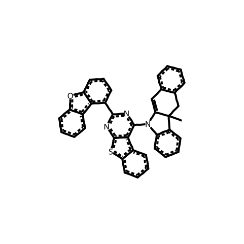 CC12Cc3ccccc3C=C1N(c1nc(-c3cccc4oc5ccccc5c34)nc3sc4ccccc4c13)c1ccccc12